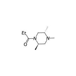 CCC(=O)N1C[C@H](C)N(C)C[C@H]1C